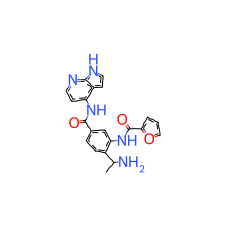 CC(N)c1ccc(C(=O)Nc2ccnc3[nH]ccc23)cc1NC(=O)c1ccco1